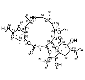 CC[C@H]1OC(=O)CC(=O)[C@H](C)[C@@H](O[C@@H]2OC(C(O)CN(C)C)CC(N(C)C)C2O)[C@](C)(OC)C[C@@H](C)CN[C@H](C)[C@@H](C)[C@]1(C)OC(N)=O